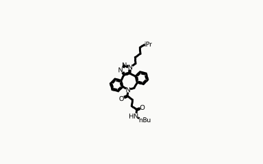 CCCCNC(=O)CCC(=O)N1Cc2ccccc2-c2c(nnn2CCCCC(C)C)-c2ccccc21